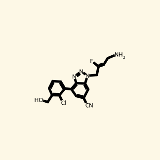 N#Cc1cc(-c2cccc(CO)c2Cl)c2nnn(C/C(F)=C/CN)c2c1